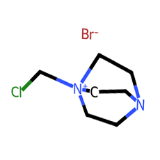 ClC[N+]12CCN(CC1)CC2.[Br-]